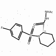 CC(=O)NNC(=O)[C@@H]1CCCCN1S(=O)(=O)c1ccc(F)cc1